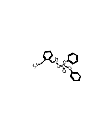 NCc1ccccc1CNOP(=O)(Oc1ccccc1)Oc1ccccc1